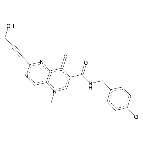 Cn1cc(C(=O)NCc2ccc(Cl)cc2)c(=O)c2nc(C#CCO)ncc21